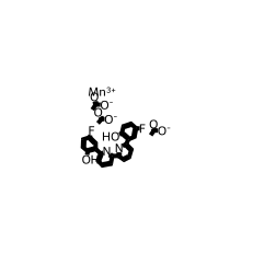 CC(=O)[O-].CC(=O)[O-].CC(=O)[O-].Oc1ccc(F)cc1-c1cccc(-c2cccc(-c3cc(F)ccc3O)n2)n1.[Mn+3]